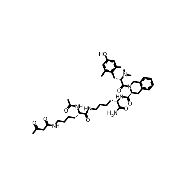 CC(=O)CC(=O)NCCCC[C@H](NC(C)=O)C(=O)NCCCC[C@H](NC(=O)[C@@H]1Cc2ccccc2CN1C(=O)[C@H](Cc1c(C)cc(O)cc1C)N(C)C)C(N)=O